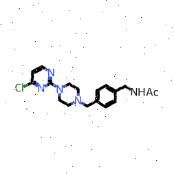 CC(=O)NCc1ccc(CN2CCN(c3nccc(Cl)n3)CC2)cc1